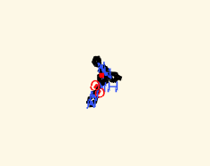 CC1CCC(c2cccc(NC(=O)C(=O)CN3CCN(C)CC3)c2)(N2CCN(c3ccccc3)CC2)CC1